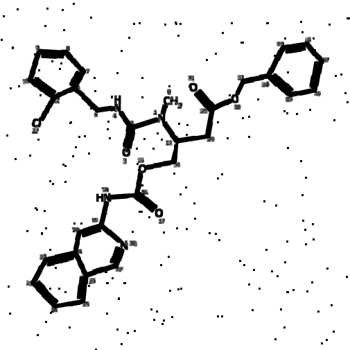 CN(C(=O)NCc1ccccc1Cl)[C@H](COC(=O)Nc1cc2ccccc2cn1)CC(=O)OCc1ccccc1